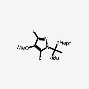 CCCCCCCC(C)(CCCC)n1nc(I)c(OC)c1F